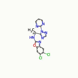 C[C@H](Nc1nc2cc(Cl)c(Cl)cc2o1)c1ncnn1-c1ncccn1